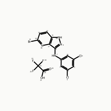 Clc1cc(Cl)cc(Nc2n[nH]c3ccc(Br)nc23)c1.O=C(O)C(F)(F)F